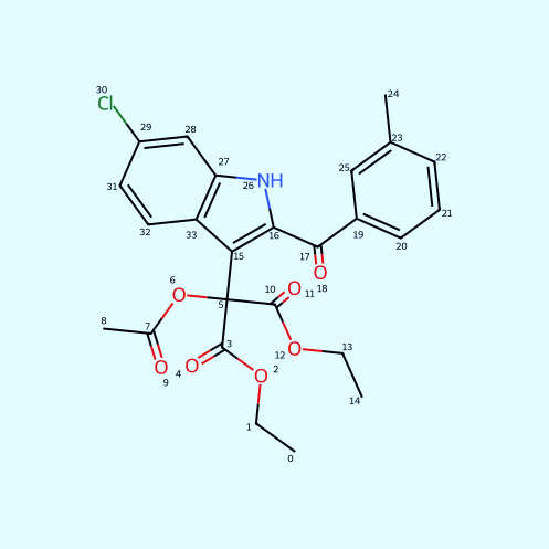 CCOC(=O)C(OC(C)=O)(C(=O)OCC)c1c(C(=O)c2cccc(C)c2)[nH]c2cc(Cl)ccc12